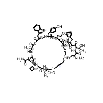 CC(=O)N[C@@H](CC(C)C)C(=O)N[C@H](C(=O)C(=O)[C@H](Cc1ccccc1)NN[C@]1(C)CCCCCC/C=C/CCC[C@@](C)(C=O)NC(=O)[C@H](CC2CCC2)NN[C@@H](CCC(N)=O)C(=O)CN[C@@H](C)C(=O)CC(=O)[C@H](Cc2c[nH]c3ccccc23)NN[C@@H](Cc2ccc(O)cc2)C(=O)N[C@@H](CCC(=O)O)C(=O)C1=O)[C@@H](C)O